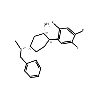 CN(Cc1ccccc1)[C@H]1CC[C@H](c2cc(F)c(F)cc2F)[C@@H](N)C1